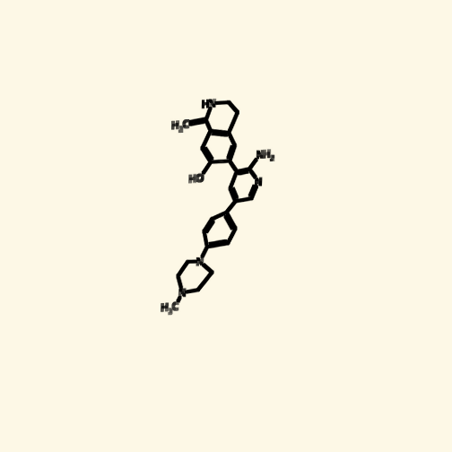 C=C1NCCc2cc(-c3cc(-c4ccc(N5CCN(C)CC5)cc4)cnc3N)c(O)cc21